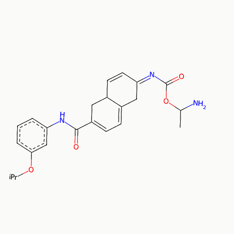 CC(C)Oc1cccc(NC(=O)C2=CC=C3CC(=NC(=O)OC(C)N)C=CC3C2)c1